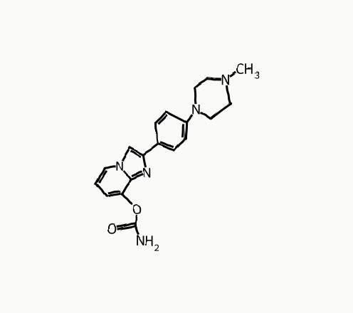 CN1CCN(c2ccc(-c3cn4cccc(OC(N)=O)c4n3)cc2)CC1